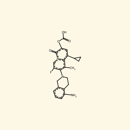 Cc1c(N2CCc3c(N)cccc3C2)c(F)cn2c(=O)c(OC(=O)O)cc(C3CC3)c12